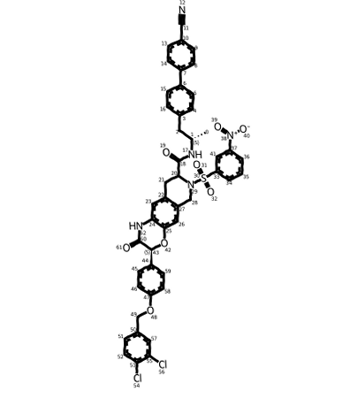 C[C@@H](Cc1ccc(-c2ccc(C#N)cc2)cc1)NC(=O)C1Cc2cc3c(cc2CN1S(=O)(=O)c1cccc([N+](=O)[O-])c1)O[C@@H](c1ccc(OCc2ccc(Cl)c(Cl)c2)cc1)C(=O)N3